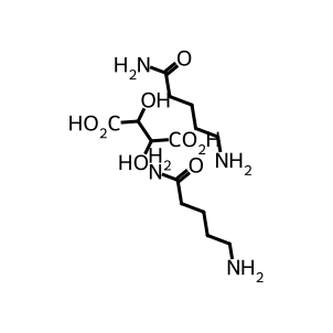 NCCCCC(N)=O.NCCCCC(N)=O.O=C(O)C(O)C(O)C(=O)O